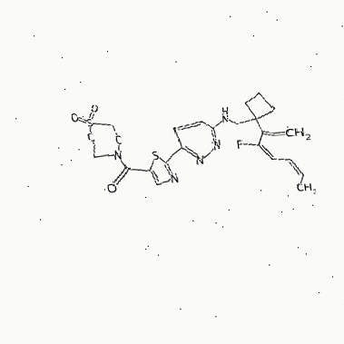 C=C(/C(F)=C\C=C/C)C1(CNc2ccc(-c3ncc(C(=O)N4CCS(=O)(=O)CC4)s3)nn2)CCC1